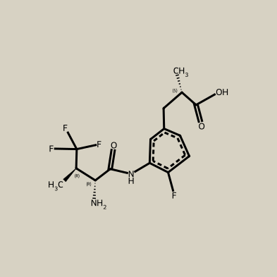 C[C@H]([C@@H](N)C(=O)Nc1cc(C[C@H](C)C(=O)O)ccc1F)C(F)(F)F